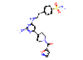 Nc1nc(NCCc2ccc(S(N)(=O)=O)cc2)cc(C2=CCN(C(=O)c3ccno3)CC2)n1